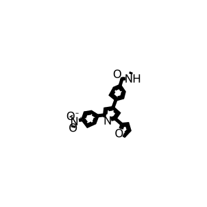 CNC(=O)c1ccc(-c2cc(-c3ccc([N+](=O)[O-])cc3)nc(-c3ccco3)c2)cc1